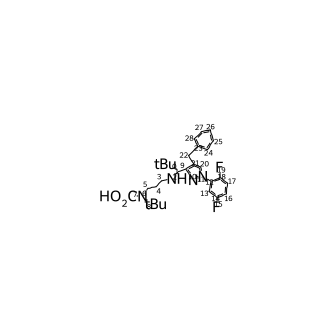 CC(C)(C)[C@@H](NCCCN(C(=O)O)C(C)(C)C)c1nn(-c2cc(F)ccc2F)cc1Cc1ccccc1